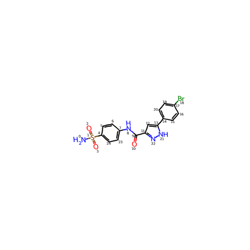 NS(=O)(=O)c1ccc(NC(=O)c2cc(-c3ccc(Br)cc3)[nH]n2)cc1